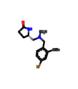 COc1cc(Br)ccc1CN(C[C@@H]1CCC(=O)N1)C(=O)O